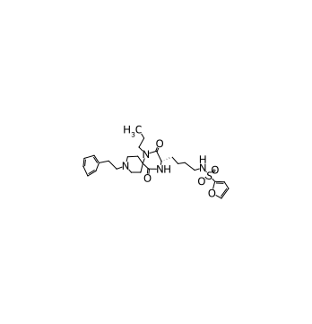 CCCN1C(=O)[C@H](CCCCNS(=O)(=O)c2ccco2)NC(=O)C12CCN(CCc1ccccc1)CC2